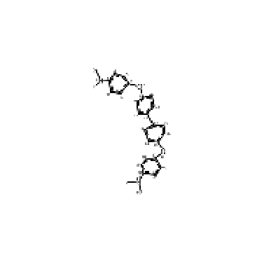 CN(C)c1ccc(Oc2ccc(-c3ccc(Oc4ccc(N(C)C)cc4)cc3)cc2)cc1